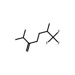 C=C(CCC(C)C(F)(F)F)C(C)C